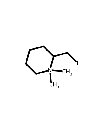 C[N+]1(C)CCCCC1CI